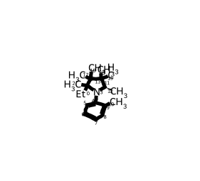 CCC1(C)N(c2ccccc2C)[C@@H](C)C(C)(C)C1(C)C